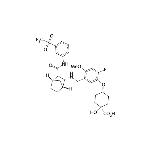 COc1cc(F)c(O[C@H]2CC[C@@](O)(C(=O)O)CC2)cc1CN[C@@H]1[C@@H]2CC[C@@H](C2)[C@@H]1C(=O)Nc1cccc(S(=O)(=O)C(F)(F)F)c1